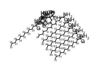 CCCCCCCCCCCCC(N)=O.CCCCCCCCCCCCC(N)=O.CCCCCCCCCCCCC(N)=O.CCCCCCCCCCCCC(N)=O.CCCCCCCCCCCCC(N)=O.CCCCCCCCCCCCC(N)=O.O=C(O)C1(C(=O)O)CCCC(C(=O)O)(C(=O)O)C1(C(=O)O)C(=O)O